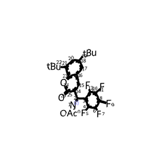 CC(=O)O/N=C(\c1c(F)c(F)c(F)c(F)c1F)c1cc2cc(C(C)(C)C)cc(C(C)(C)C)c2oc1=O